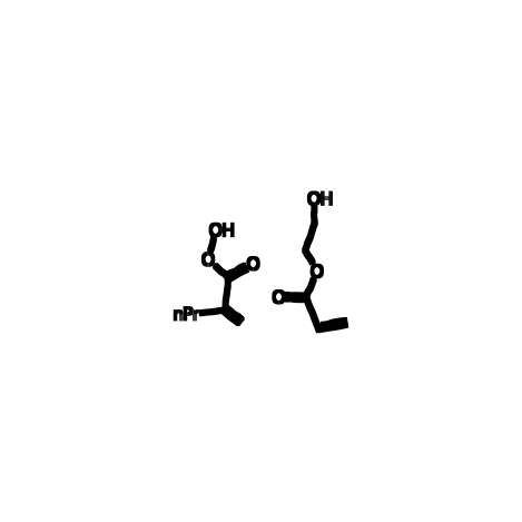 C=C(CCC)C(=O)OO.C=CC(=O)OCCO